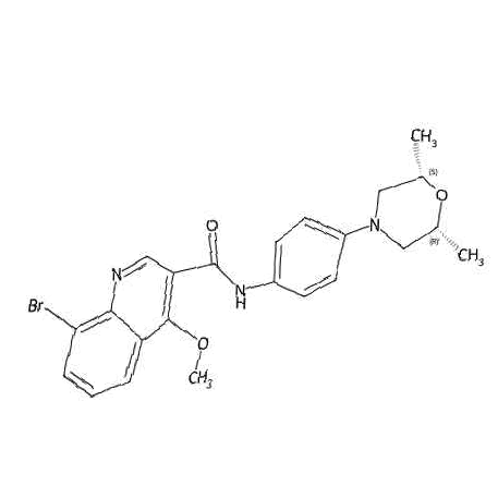 COc1c(C(=O)Nc2ccc(N3C[C@@H](C)O[C@@H](C)C3)cc2)cnc2c(Br)cccc12